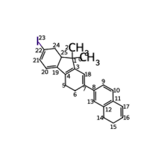 CC1(C)C2=C(CCC(c3ccc4c(c3)CCC=C4)=C2)C2=CC=C(I)CC21